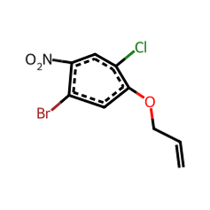 C=CCOc1cc(Br)c([N+](=O)[O-])cc1Cl